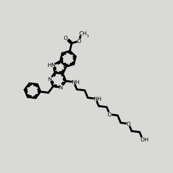 COC(=O)c1ccc2c(c1)[nH]c1nc(Cc3ccccc3)nc(NCCCNCCOCCOCCO)c12